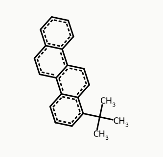 CC(C)(C)c1cccc2c1ccc1c3ccccc3ccc21